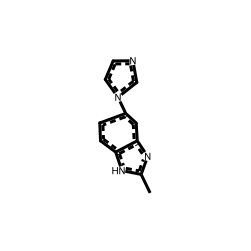 Cc1nc2cc(-n3ccnc3)ccc2[nH]1